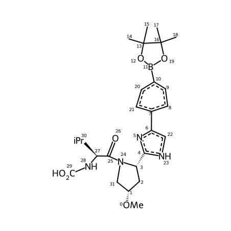 CO[C@H]1C[C@@H](c2nc(-c3ccc(B4OC(C)(C)C(C)(C)O4)cc3)c[nH]2)N(C(=O)[C@@H](NC(=O)O)C(C)C)C1